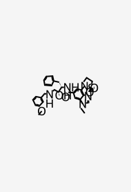 CCn1cnc2c(N3CCCS3(=O)=O)cc(C(=O)N[C@@H](Cc3ccccc3)[C@H](O)CNCc3cccc(OC)c3)cc21